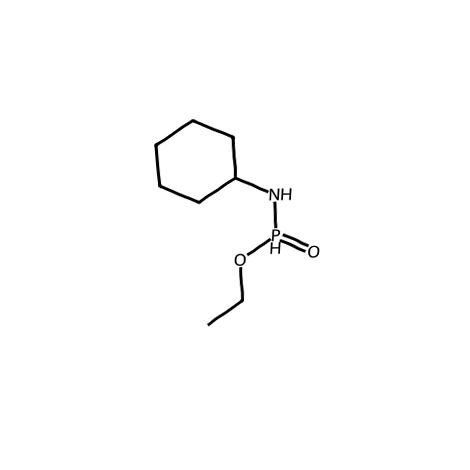 CCO[PH](=O)NC1CCCCC1